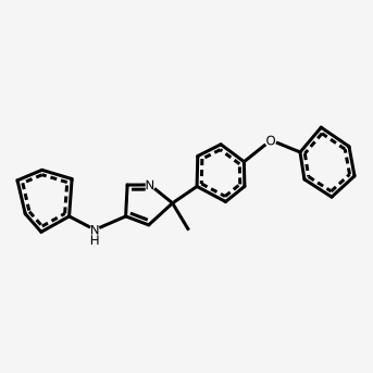 CC1(c2ccc(Oc3ccccc3)cc2)C=C(Nc2ccccc2)C=N1